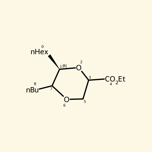 CCCCCC[C@H]1OC(C(=O)OCC)COC1CCCC